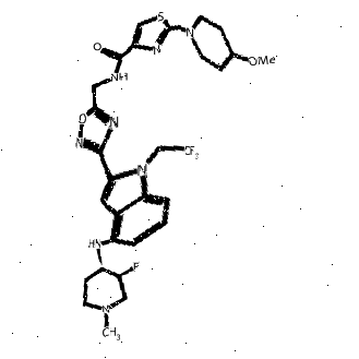 COC1CCN(c2nc(C(=O)NCc3nc(-c4cc5c(N[C@@H]6CCN(C)C[C@@H]6F)cccc5n4CC(F)(F)F)no3)cs2)CC1